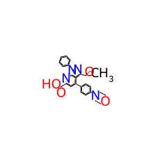 COCc1nn(-c2ccccc2)c2nc(C(=O)O)cc(-c3ccc(N4CCOCC4)cc3)c12